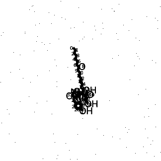 CCCCCCCC(=O)CCCCCC/C=C/[C@H](C(=O)N[C@@H](Cc1ccc(O)cc1)C(N)=O)[C@@](O)(CC(=O)O)C(=O)O